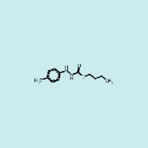 CCCCOC(=O)NNc1ccc(C)cc1